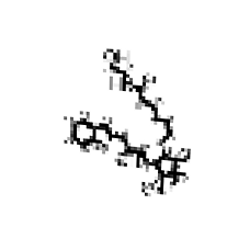 CC1(C)C(=O)[C@H](C/C=C\CCCC(=O)NCCO)[C@@H](/C=C/C(O)Cc2cc3ccccc3s2)[C@@H]1N=O